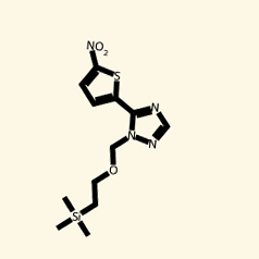 C[Si](C)(C)CCOCn1ncnc1-c1ccc([N+](=O)[O-])s1